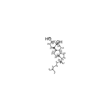 CC(C)CCC[C@H](C)C1CCC2C3CCC4(O)C[C@@H](O)CC[C@]4(C)C3CC[C@@]21C